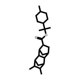 CC1CCC(C(C)(C)OC(=O)C2CC3CC2C2C4CC(C(C)C4C)C32)CC1